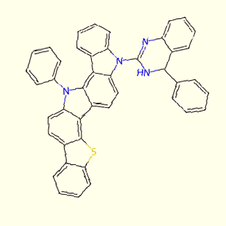 c1ccc(C2NC(n3c4ccccc4c4c3ccc3c5c6sc7ccccc7c6ccc5n(-c5ccccc5)c34)=Nc3ccccc32)cc1